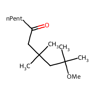 CCCCCC(=O)CC(C)(C)CC(C)(C)OC